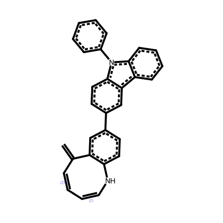 C=C1/C=C\C=C/Nc2ccc(-c3ccc4c(c3)c3ccccc3n4-c3ccccc3)cc21